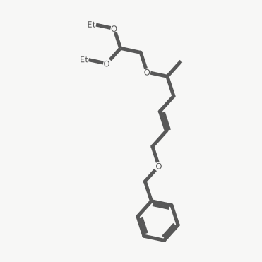 CCOC(COC(C)CC=CCOCc1ccccc1)OCC